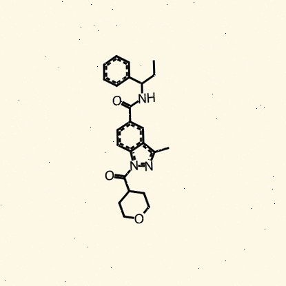 CCC(NC(=O)c1ccc2c(c1)c(C)nn2C(=O)C1CCOCC1)c1ccccc1